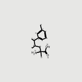 Cc1cccc(C(C)C(C)CC(C)(N)C(=O)O)c1